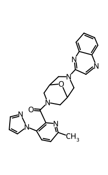 Cc1ccc(-n2cccn2)c(C(=O)N2CC3CN(c4cnc5ccccc5n4)CC(C2)O3)n1